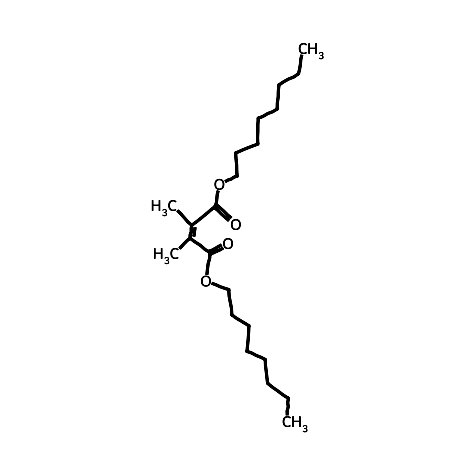 CCCCCCCCOC(=O)/C(C)=C(/C)C(=O)OCCCCCCCC